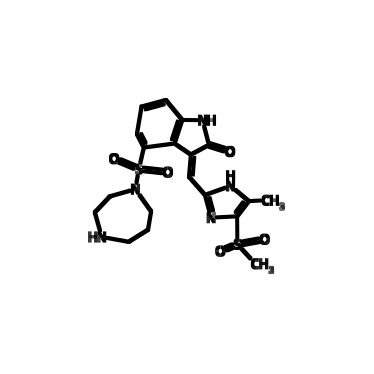 Cc1[nH]c(/C=C2\C(=O)Nc3cccc(S(=O)(=O)N4CCCNCC4)c32)nc1S(C)(=O)=O